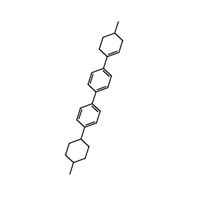 CC1CC=C(c2ccc(-c3ccc(C4CCC(C)CC4)cc3)cc2)CC1